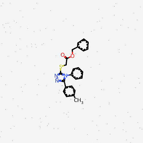 Cc1ccc(-c2nnc(SCC(=O)OCc3ccccc3)n2-c2ccccc2)cc1